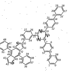 c1ccc(-c2ccc(-c3nc(-c4ccc(-c5ccccc5)cc4)nc(-c4cccc(-c5cc6c(-c7ccccc7)c7sccc7c(-c7ccccc7)c6s5)c4)n3)cc2)cc1